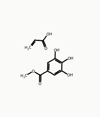 C=CC(=O)O.COC(=O)c1cc(O)c(O)c(O)c1